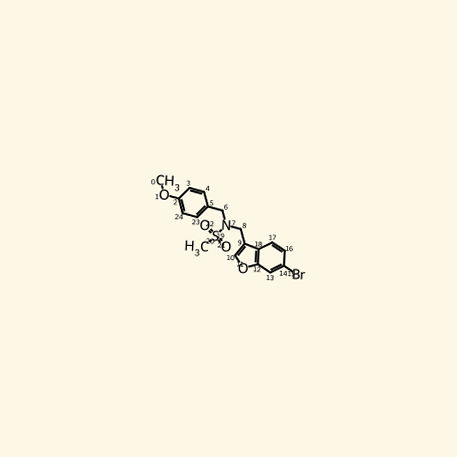 COc1ccc(CN(Cc2coc3cc(Br)ccc23)S(C)(=O)=O)cc1